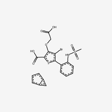 CS(=O)(=O)Nc1ccccc1-c1sc(C(=O)O)c(OCC(=O)O)c1Br.c1cc2cc-2c1